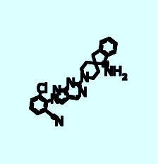 N#Cc1cccc(Cl)c1-n1cc2cnc(N3CCC4(CC3)Cc3ccccc3[C@H]4N)nc2n1